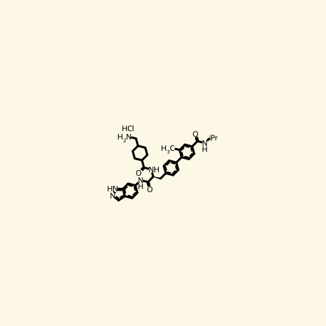 Cc1cc(C(=O)NC(C)C)ccc1-c1ccc(C[C@H](NC(=O)C2CCC(CN)CC2)C(=O)Nc2ccc3cn[nH]c3c2)cc1.Cl